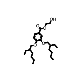 CCCCC(CC)COc1ccc(C(=O)OCCO)cc1OCC(CC)CCCC